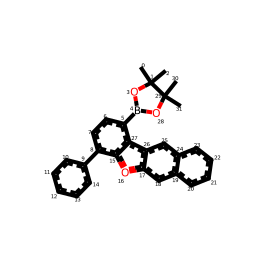 CC1(C)OB(c2ccc(-c3ccccc3)c3oc4cc5ccccc5cc4c23)OC1(C)C